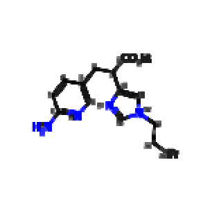 CCOC(=O)C(Cc1ccc(N)nc1)c1cn(CCC(C)C)cn1